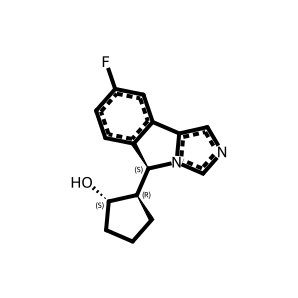 O[C@H]1CCC[C@@H]1[C@H]1c2ccc(F)cc2-c2cncn21